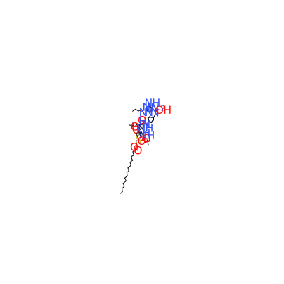 CCCCCCCCCCCCCCCCCC(=O)OCCSC[C@H](NC(=O)OC(C)(C)C)C(=O)N[C@@H](COC(C)(C)C)C(=O)Nc1ccc(Cn2c(O)nc3c(N)nc(NCCCC)nc32)cc1